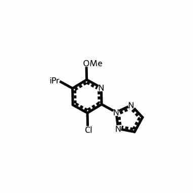 COc1nc(-n2nccn2)c(Cl)cc1C(C)C